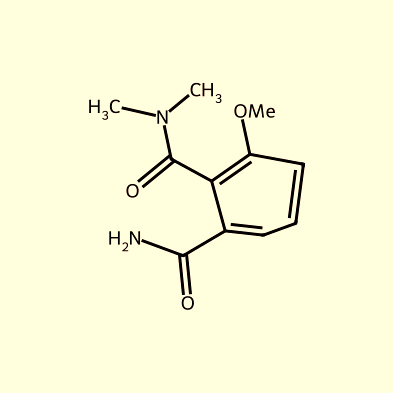 COc1cccc(C(N)=O)c1C(=O)N(C)C